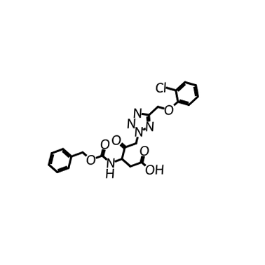 O=C(O)CC(NC(=O)OCc1ccccc1)C(=O)Cn1nnc(COc2ccccc2Cl)n1